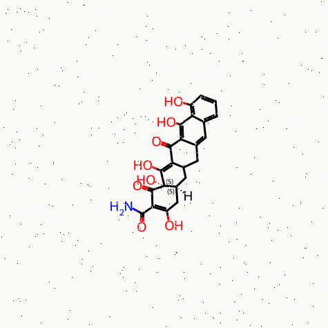 NC(=O)C1=C(O)C[C@@H]2CC3Cc4cc5cccc(O)c5c(O)c4C(=O)C3=C(O)[C@]2(O)C1=O